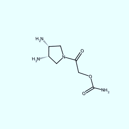 NC(=O)OCC(=O)N1C[C@@H](N)[C@@H](N)C1